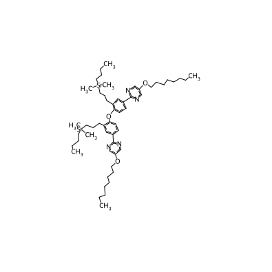 CCCCCCCCOc1cnc(-c2ccc(Oc3ccc(-c4ncc(OCCCCCCCC)cn4)cc3CCC[Si](C)(C)CCCC)c(CCC[Si](C)(C)CCCC)c2)nc1